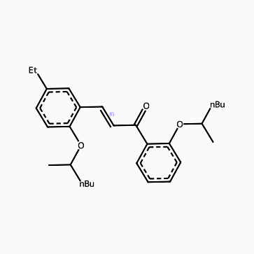 CCCCC(C)Oc1ccc(CC)cc1/C=C/C(=O)c1ccccc1OC(C)CCCC